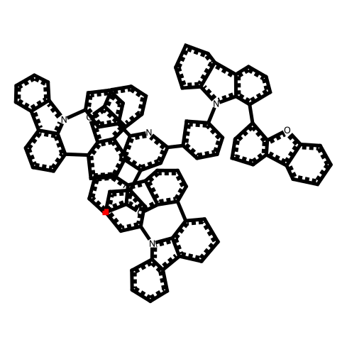 c1cc(-c2cc(-c3cccc(-n4c5ccccc5c5cccc(-c6cccc7c6oc6ccccc67)c54)c3)nc(-c3cccc(-n4c5ccccc5c5cccc(-c6cccc7c6oc6ccccc67)c54)c3)n2)cc(-n2c3ccccc3c3cccc(-c4cccc5c4oc4ccccc45)c32)c1